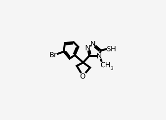 Cn1c(S)nnc1C1(c2cccc(Br)c2)COC1